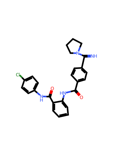 N=C(c1ccc(C(=O)Nc2ccccc2C(=O)Nc2ccc(Cl)cc2)cc1)N1CCCC1